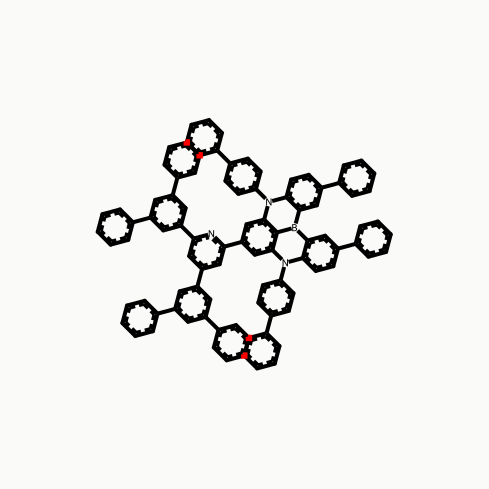 c1ccc(-c2ccc(N3c4ccc(-c5ccccc5)cc4B4c5cc(-c6ccccc6)ccc5N(c5ccc(-c6ccccc6)cc5)c5cc(-c6cc(-c7cc(-c8ccccc8)cc(-c8ccccc8)c7)cc(-c7cc(-c8ccccc8)cc(-c8ccccc8)c7)n6)cc3c54)cc2)cc1